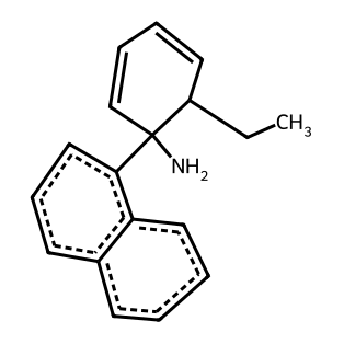 CCC1C=CC=CC1(N)c1cccc2ccccc12